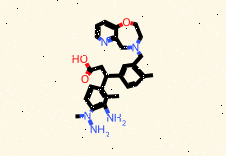 Cc1ccc(C(CC(=O)O)c2ccc(N(C)N)c(N)c2C)cc1CN1CCOc2cccnc2C1